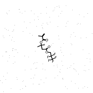 C=C(C)C(=O)OC(C)(C)CC(=O)OCC(F)(F)C(F)(F)F